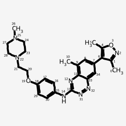 Cc1noc(C)c1-c1cc(C)c2nc(Nc3ccc(OCCN4CCN(C)CC4)cc3)nnc2c1